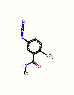 CCNC(=O)c1cc(N=[N+]=[N-])ccc1[N+](=O)[O-]